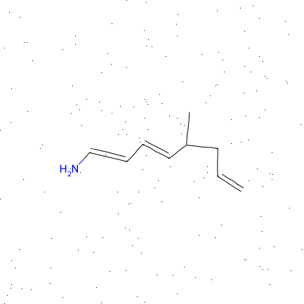 C=CCC(C)C=CC=CN